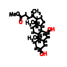 COC(=O)CC[C@@H](C)C1CCC2C3C(CC[C@@]21C)[C@@]1(C)CC[C@@H](O)CC1C[C@H]3O